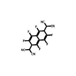 N#CC(C#N)C1C(F)=C(F)C2=C(F)C(C(C#N)C#N)C(F)=C(F)C2=C1F